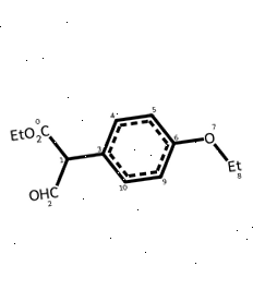 CCOC(=O)C(C=O)c1ccc(OCC)cc1